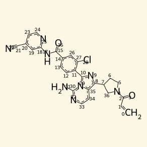 C=CC(=O)N1CCC(c2nc(-c3ccc(C(=O)Nc4cc(C#N)ccn4)cc3Cl)n3c(N)nccc23)C1